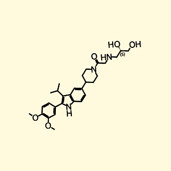 COc1ccc(-c2[nH]c3ccc(C4CCN(C(=O)CNC[C@H](O)CO)CC4)cc3c2C(C)C)cc1OC